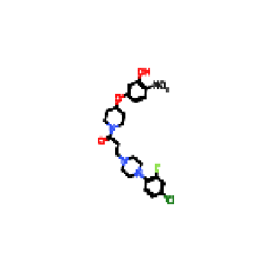 O=C(CCN1CCN(c2ccc(Cl)cc2F)CC1)N1CCC(Oc2ccc([N+](=O)[O-])c(O)c2)CC1